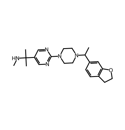 CNC(C)(C)c1cnc(N2CCN(C(C)c3ccc4c(c3)OCC4)CC2)nc1